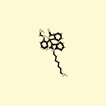 CCCCCCCCn1c(C)c(C2(c3ccccc3OCC)OC(=O)c3ccccc32)c2ccccc21